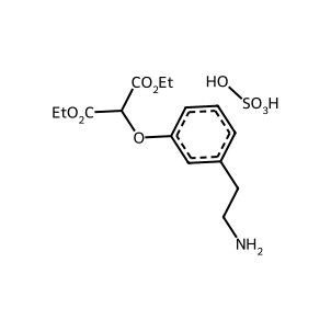 CCOC(=O)C(Oc1cccc(CCN)c1)C(=O)OCC.O=S(=O)(O)O